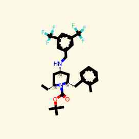 CC[C@@H]1C[C@H](NCc2cc(C(F)(F)F)cc(C(F)(F)F)c2)C[C@H](Cc2ccccc2C)N1C(=O)OC(C)(C)C